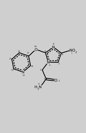 NC(=O)Cn1cc([N+](=O)[O-])nc1Oc1cccnc1